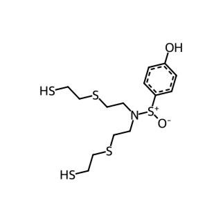 [O-][S+](c1ccc(O)cc1)N(CCSCCS)CCSCCS